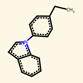 CCc1ccc(-n2ccc3ccccc32)cc1